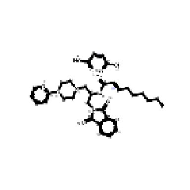 CCCCCC/C=C/C(=O)OC(CN1CCN(c2ccccn2)CC1)CN1C(=O)c2ccccc2C1=O.O=C(O)/C=C\C(=O)O